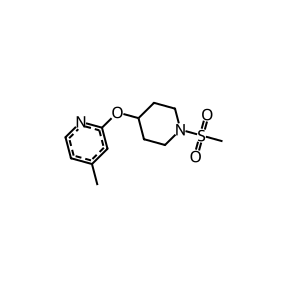 Cc1ccnc(OC2CCN(S(C)(=O)=O)CC2)c1